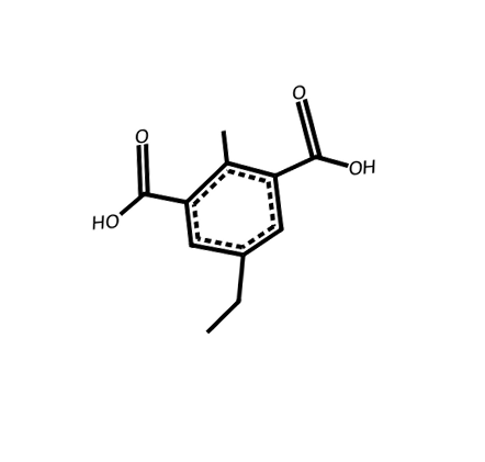 CCc1cc(C(=O)O)c(C)c(C(=O)O)c1